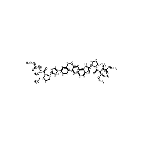 CC[C@H]1CC[C@@H](c2ncc(-c3ccc4c(c3)COc3cc5c(ccc6nc(C7CC[C@H](C)N7C(=O)[C@@H](NC(=O)OC)[C@@H](C)OC)[nH]c65)cc3-4)[nH]2)N1C(=O)[C@H](C)NC(=O)OC